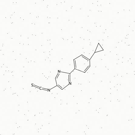 S=C=Nc1cnc(-c2ccc(C3CC3)cc2)nc1